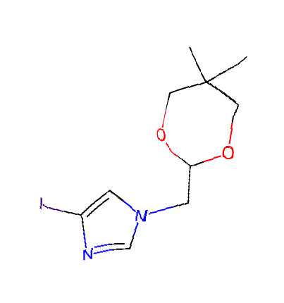 CC1(C)COC(Cn2cnc(I)c2)OC1